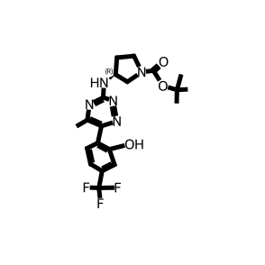 Cc1nc(N[C@@H]2CCN(C(=O)OC(C)(C)C)C2)nnc1-c1ccc(C(F)(F)F)cc1O